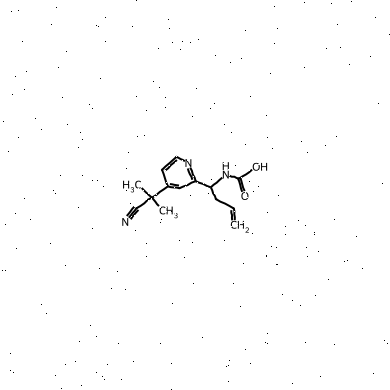 C=CCC(NC(=O)O)c1cc(C(C)(C)C#N)ccn1